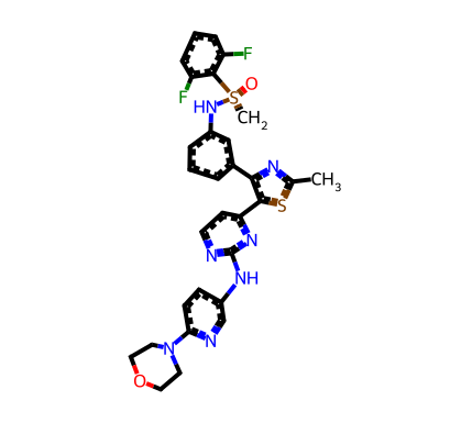 C=S(=O)(Nc1cccc(-c2nc(C)sc2-c2ccnc(Nc3ccc(N4CCOCC4)nc3)n2)c1)c1c(F)cccc1F